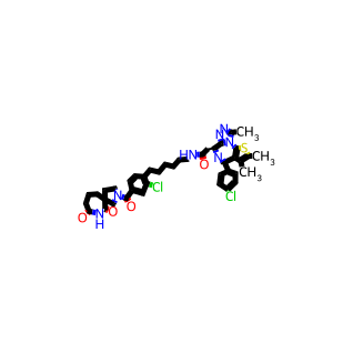 Cc1sc2c(c1C)C(c1ccc(Cl)cc1)=N[C@@H](CC(=O)NCCCCCCc1ccc(C(=O)N3CCC4(CCCC(=O)NC4=O)C3)cc1Cl)c1nnc(C)n1-2